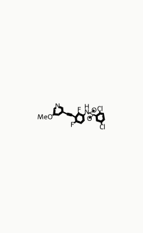 COc1cncc(C#Cc2c(F)ccc(NS(=O)(=O)c3cc(Cl)ccc3Cl)c2F)c1